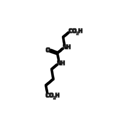 O=C(O)CCCNC(=O)NCC(=O)O